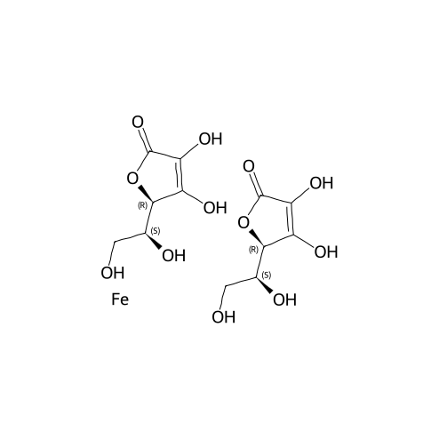 O=C1O[C@H]([C@@H](O)CO)C(O)=C1O.O=C1O[C@H]([C@@H](O)CO)C(O)=C1O.[Fe]